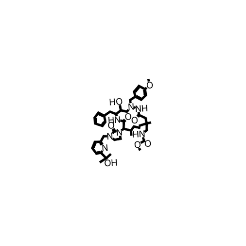 CCC(C)C(C(=O)NC(Cc1ccccc1)C(O)CN(Cc1ccc(OC)cc1)NC(=O)CC(C)(C)CNC(=O)OC)N1CCN(Cc2cccc(C(C)(C)O)n2)C1=O